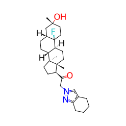 C[C@@]1(O)CC[C@@]2(F)[C@H](CC[C@@H]3[C@@H]2CC[C@]2(C)[C@@H](C(=O)Cn4cc5c(n4)CCCC5)CC[C@@]32C)C1